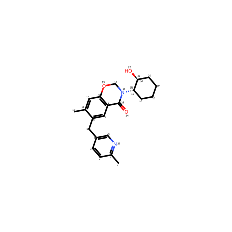 Cc1ccc(Cc2cc3c(cc2C)OCN([C@H]2CCCC[C@@H]2O)C3=O)cn1